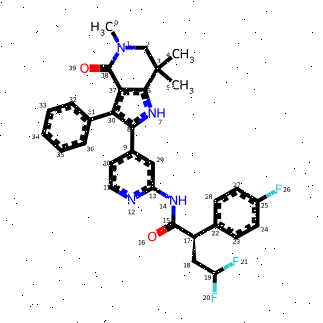 CN1CC(C)(C)c2[nH]c(-c3ccnc(NC(=O)[C@H](CC(F)F)c4ccc(F)cc4)c3)c(-c3ccccc3)c2C1=O